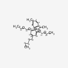 C=C(C)c1ccc(C)cc1-c1c(OCOCC)cc(CCCCC)cc1OCOCC